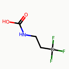 O=C(O)NCC[B-](F)(F)F